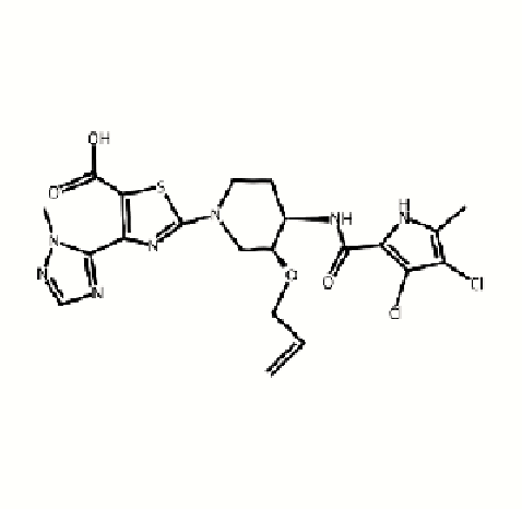 C=CCO[C@H]1CN(c2nc(-c3ncnn3C)c(C(=O)O)s2)CC[C@H]1NC(=O)c1[nH]c(C)c(Cl)c1Cl